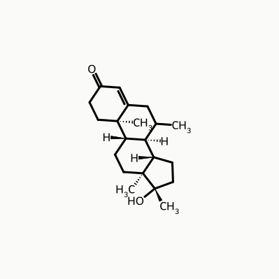 CC1CC2=CC(=O)CC[C@]2(C)[C@H]2CC[C@@]3(C)[C@@H](CC[C@]3(C)O)[C@H]12